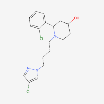 OC1CCN(CCCCn2cc(Cl)cn2)C(c2ccccc2Cl)C1